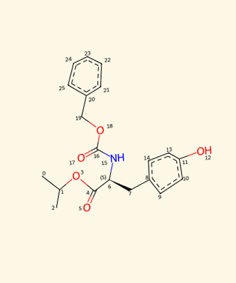 CC(C)OC(=O)[C@H](Cc1ccc(O)cc1)NC(=O)OCc1ccccc1